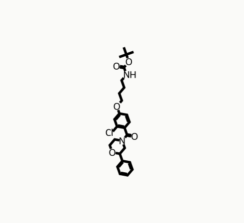 CC(C)(C)OC(=O)NCCCCOc1ccc(C(=O)N2CCOC(c3ccccc3)C2)c(Cl)c1